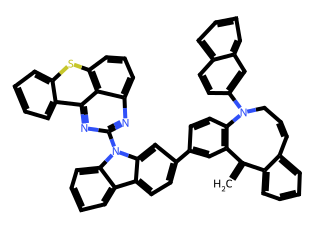 C=C1c2ccccc2/C=C\CN(c2ccc3ccccc3c2)c2ccc(-c3ccc4c5ccccc5n(-c5nc6c7c(cccc7n5)Sc5ccccc5-6)c4c3)cc21